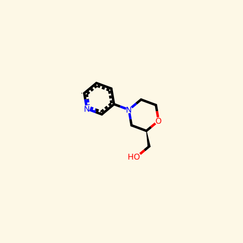 OC[C@H]1CN(c2cc[c]nc2)CCO1